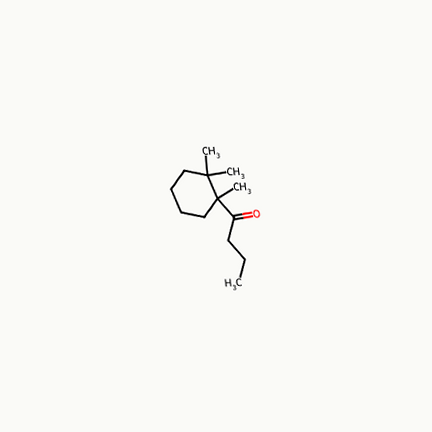 CCCC(=O)C1(C)CCCCC1(C)C